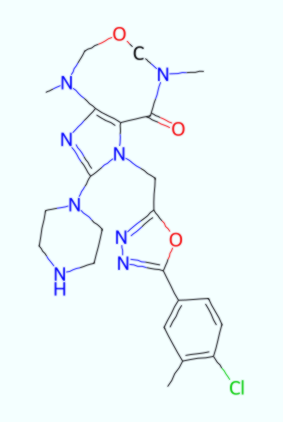 Cc1cc(-c2nnc(Cn3c(N4CCNCC4)nc4c3C(=O)N(C)COCN4C)o2)ccc1Cl